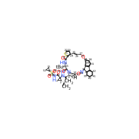 C=C[C@@H]1C[C@]1(NC(=C)[C@@H]1C[C@@H]2CN1C(=O)[C@H](C(C)(C)C)NC(=O)c1sccc1/C=C/COc1ccc3c(c1)/C(=N\O2)c1ccccc1-3)C(=O)NS(=O)(=O)C1CC1